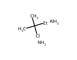 CCC(C)(C)Cl.N.[AlH3]